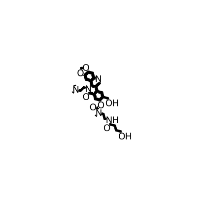 CN(C)CCn1c(=O)c2cc(OC(=O)N(C)CCNC(=O)CCCO)c(CO)cc2c2cnc3cc4c(cc3c21)OCO4